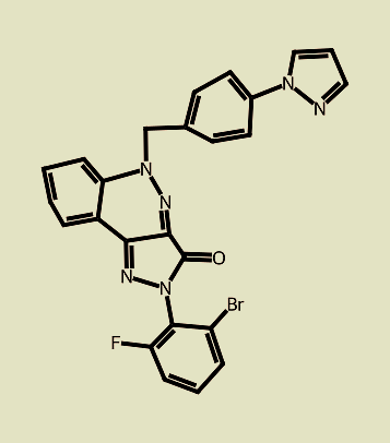 O=c1c2nn(Cc3ccc(-n4cccn4)cc3)c3ccccc3c-2nn1-c1c(F)cccc1Br